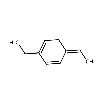 C/C=C1\C=CC(CC)=CC1